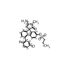 CCCS(=O)(=O)Oc1cccc(C2(c3cccc(-c4cc(Cl)cnc4F)c3)N=C(N)N(C)C2=O)c1